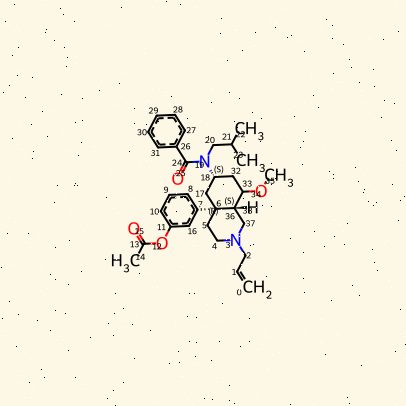 C=CCN1CC[C@@]2(c3cccc(OC(C)=O)c3)C[C@H](N(CC(C)C)C(=O)c3ccccc3)CC(OC)[C@@H]2C1